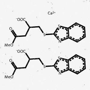 COC(=O)CC(CSc1nc2ccccc2s1)C(=O)[O-].COC(=O)CC(CSc1nc2ccccc2s1)C(=O)[O-].[Ca+2]